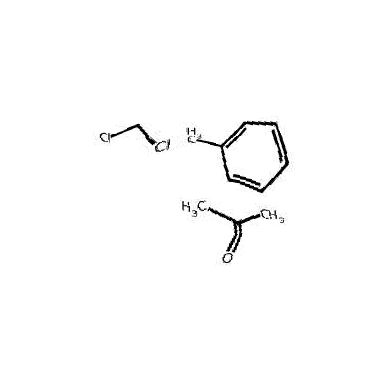 CC(C)=O.Cc1ccccc1.ClCCl